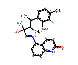 COc1c(C(C)C(C)C(O)(C=Nc2cccc3[nH]c(=O)ccc23)C(F)(F)F)ccc(C)c1F